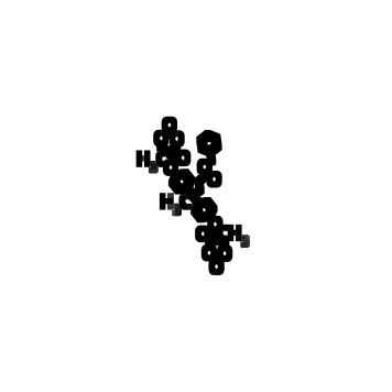 CC1(C(=O)Oc2ccc(C(C)(CCC(=O)OCc3ccccc3)c3ccc(OC(=O)C4(C)COC(=O)OC4)cc3)cc2)COC(=O)OC1